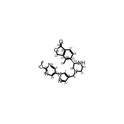 COc1ncc(-n2cc(CN3CCN[C@H](c4ccc5c(c4C)COC5=O)C3)cn2)cn1